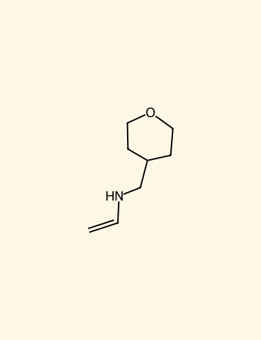 C=CNCC1CCOCC1